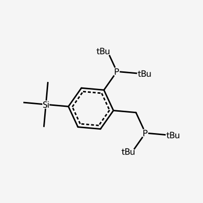 CC(C)(C)P(Cc1ccc([Si](C)(C)C)cc1P(C(C)(C)C)C(C)(C)C)C(C)(C)C